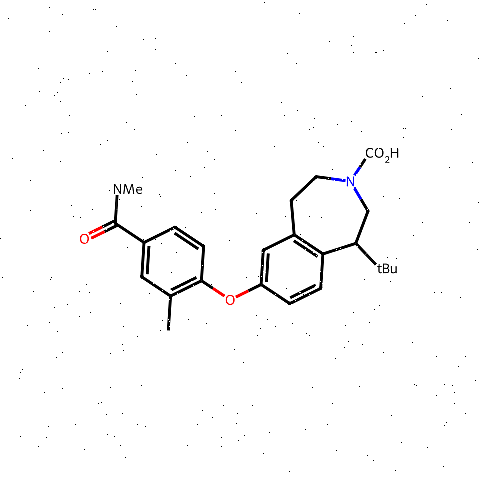 CNC(=O)c1ccc(Oc2ccc3c(c2)CCN(C(=O)O)CC3C(C)(C)C)c(C)c1